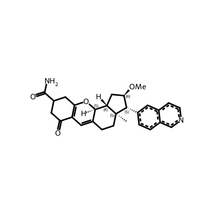 CO[C@@H]1C[C@H]2[C@@H]3OC4=C(C=C3CC[C@]2(C)[C@H]1c1ccc2cnccc2c1)C(=O)CC(C(N)=O)C4